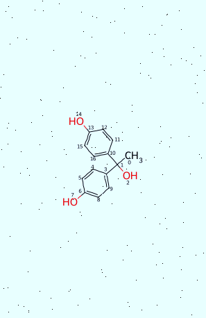 CC(O)(c1ccc(O)cc1)c1ccc(O)cc1